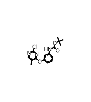 Cc1cnc(Cl)nc1Oc1cccc(NC(=O)OC(C)(C)C)c1